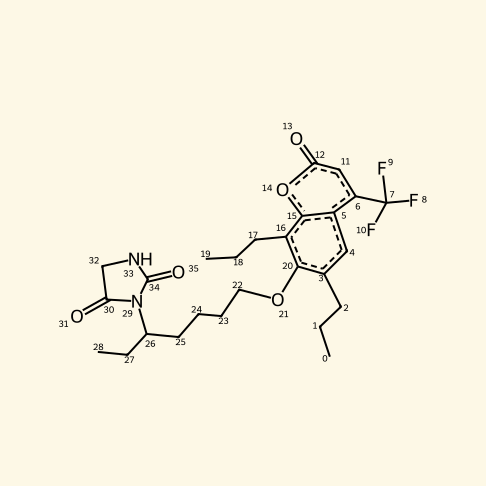 CCCc1cc2c(C(F)(F)F)cc(=O)oc2c(CCC)c1OCCCCC(CC)N1C(=O)CNC1=O